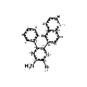 Nc1nc(-c2ccccc2)c(-c2ccc3ncccc3c2)nc1Br